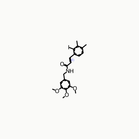 COc1cc(CNC(=O)/C=C/c2ccc(C)c(C)c2I)cc(OC)c1OC